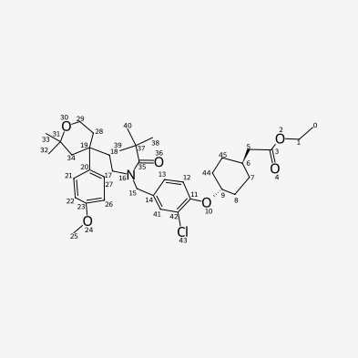 CCOC(=O)C[C@H]1CC[C@H](Oc2ccc(CN(CCC3(c4ccc(OC)cc4)CCOC(C)(C)C3)C(=O)C(C)(C)C)cc2Cl)CC1